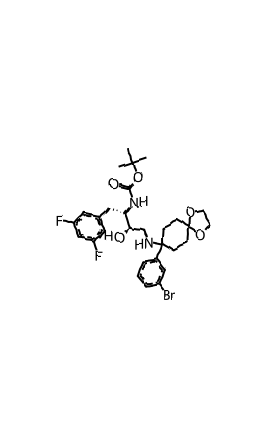 CC(C)(C)OC(=O)N[C@@H](Cc1cc(F)cc(F)c1)[C@H](O)CNC1(c2cccc(Br)c2)CCC2(CC1)OCCO2